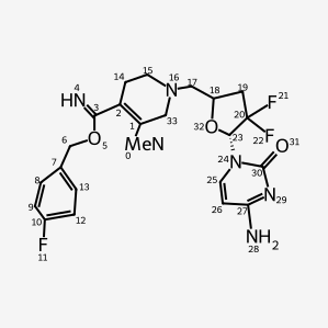 CNC1=C(C(=N)OCc2ccc(F)cc2)CCN(CC2CC(F)(F)[C@H](n3ccc(N)nc3=O)O2)C1